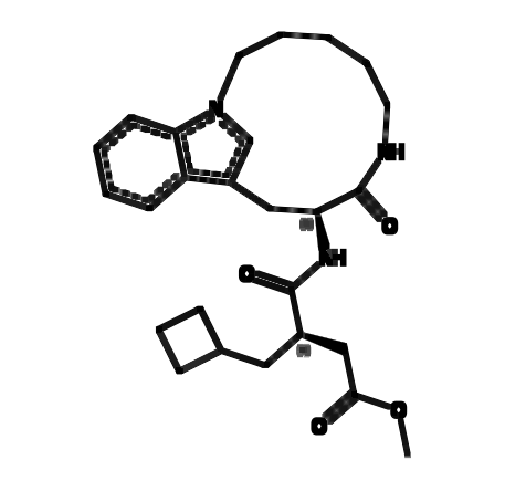 COC(=O)C[C@@H](CC1CCC1)C(=O)N[C@H]1Cc2cn(c3ccccc23)CCCCCNC1=O